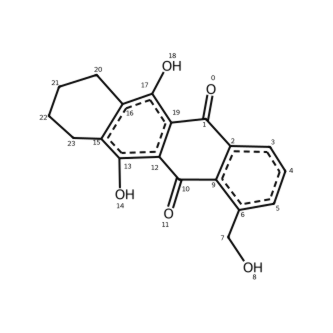 O=C1c2cccc(CO)c2C(=O)c2c(O)c3c(c(O)c21)CCCC3